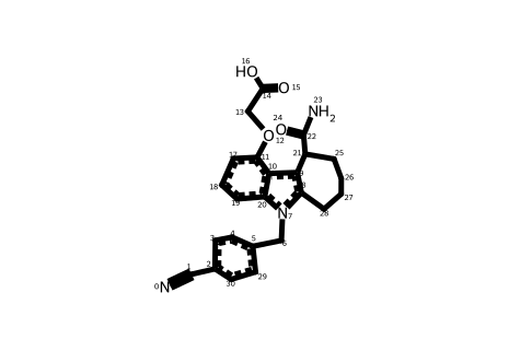 N#Cc1ccc(Cn2c3c(c4c(OCC(=O)O)cccc42)C(C(N)=O)CCCC3)cc1